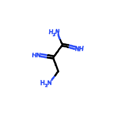 N=C(N)C(=N)CN